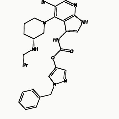 CC(C)CN[C@@H]1CCCN(c2c(Br)cnc3[nH]cc(NC(=O)Oc4cnn(Cc5ccccc5)c4)c23)C1